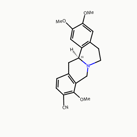 COc1cc2c(cc1OC)[C@@H]1Cc3ccc(C#N)c(OC)c3CN1CC2